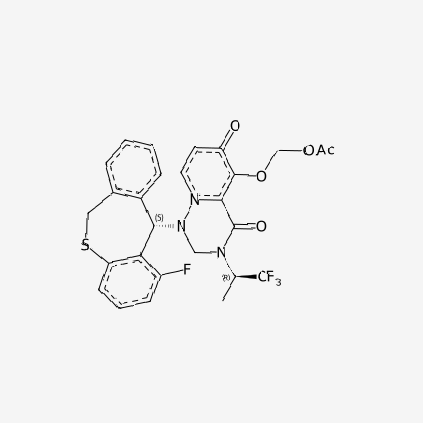 CC(=O)OCOc1c2n(ccc1=O)N([C@H]1c3ccccc3CSc3cccc(F)c31)CN([C@H](C)C(F)(F)F)C2=O